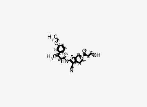 CCOc1cccc(C(C)CC(=O)Nc2sc3c(c2C#N)CCN(C(=O)CCO)C3)c1